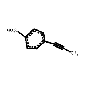 CC#Cc1ccc(C(=O)O)cc1